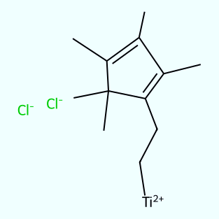 CC1=C(C)C(C)(C)C(C[CH2][Ti+2])=C1C.[Cl-].[Cl-]